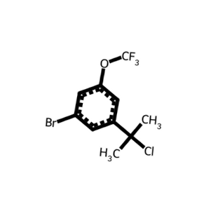 CC(C)(Cl)c1cc(Br)cc(OC(F)(F)F)c1